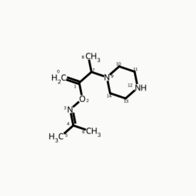 C=C(ON=C(C)C)C(C)N1CCNCC1